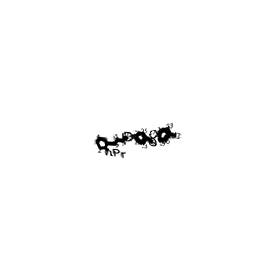 CCCC1CCCCC1CCCOc1ccc(C(=O)Oc2ccc(C)cc2)cc1